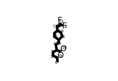 CC1CCC(CCC2CCC(C=C(F)F)CC2)C(=O)O1